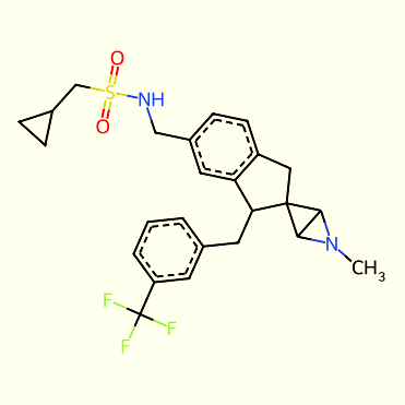 CN1C2C1C21Cc2ccc(CNS(=O)(=O)CC3CC3)cc2C1Cc1cccc(C(F)(F)F)c1